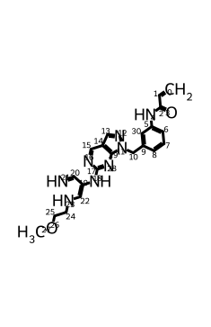 C=CC(=O)Nc1cccc(Cn2ncc3cnc(N/C(C=N)=C/NCCOC)nc32)c1